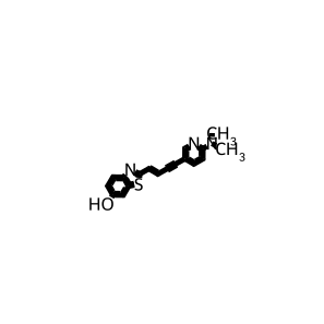 CN(C)c1ccc(C#CC=Cc2nc3ccc(O)cc3s2)cn1